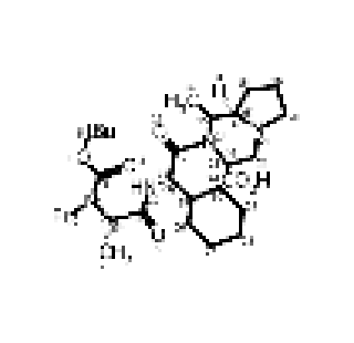 CCN(C(=O)OC(C)(C)C)[C@@H](C)C(=O)N[C@H](C(=O)N1C(C)[C@H]2CCCN2C[C@H]1C(=O)O)C1CCCCC1